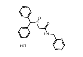 Cl.O=C(C[S+]([O-])C(c1ccccc1)c1ccccc1)NCc1ccccn1